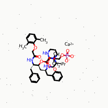 Cc1cccc(C)c1OCC(=O)N[C@@H](Cc1ccccc1)[C@H](C[C@H](Cc1ccccc1)NC(=O)[C@H](C(C)C)N1CCCNC1=O)OC(=O)CC(C)(C)COP(=O)([O-])[O-].[Ca+2]